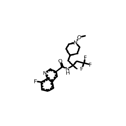 CON1CCC(CC(C)(CC(F)(F)F)NC(=O)c2cnc3c(F)cccc3c2)CC1